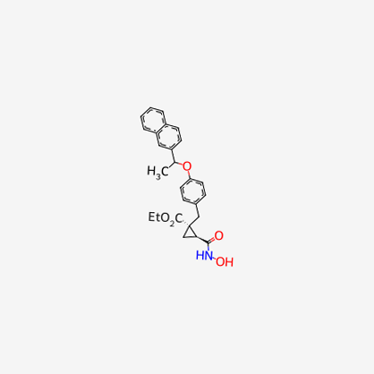 CCOC(=O)[C@@]1(Cc2ccc(OC(C)c3ccc4ccccc4c3)cc2)C[C@@H]1C(=O)NO